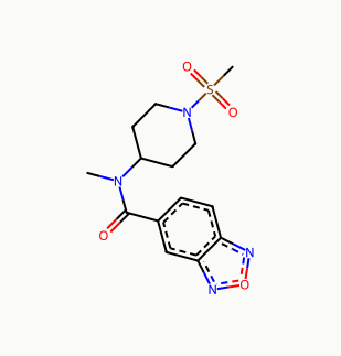 CN(C(=O)c1ccc2nonc2c1)C1CCN(S(C)(=O)=O)CC1